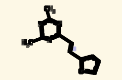 Cc1nc(C)nc(/C=C/c2ccco2)n1